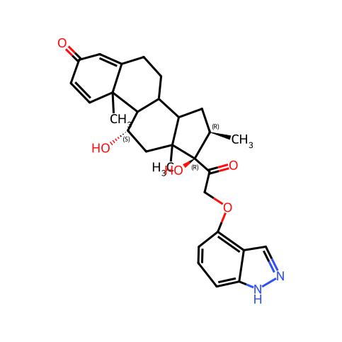 C[C@@H]1CC2C3CCC4=CC(=O)C=CC4(C)C3[C@@H](O)CC2(C)[C@@]1(O)C(=O)COc1cccc2[nH]ncc12